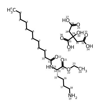 CCCCCCCCCCCC(=O)N[C@@H](CCCCN)C(=O)OCC.O=C(O)CC(O)(CC(=O)O)C(=O)O